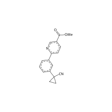 COC(=O)c1ccc(-c2cccc(C3(C#N)CC3)c2)nc1